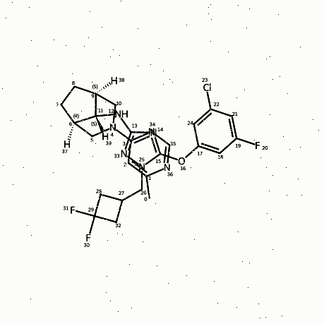 Cc1cc(N2C[C@H]3CC[C@@H](C2)[C@@H]3Nc2nc(Oc3cc(F)cc(Cl)c3)n(CC3CC(F)(F)C3)n2)ncn1